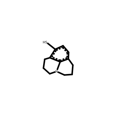 Sc1ccc2c3c1CCCN3CCC2